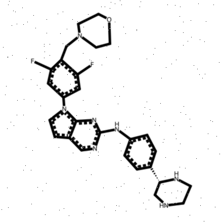 Fc1cc(-n2ccc3cnc(Nc4ccc([C@H]5CNCCN5)cc4)nc32)cc(F)c1CN1CCOCC1